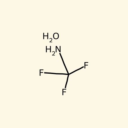 NC(F)(F)F.O